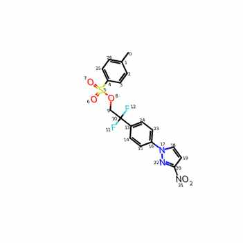 Cc1ccc(S(=O)(=O)OCC(F)(F)c2ccc(-n3ccc([N+](=O)[O-])n3)cc2)cc1